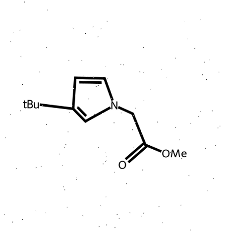 COC(=O)Cn1ccc(C(C)(C)C)c1